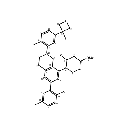 COC1CCN(c2nc(-c3cc(C)ccc3C)nc3c2CN(c2cc(C4(C)COC4)ccc2C)CC3)C(C)C1